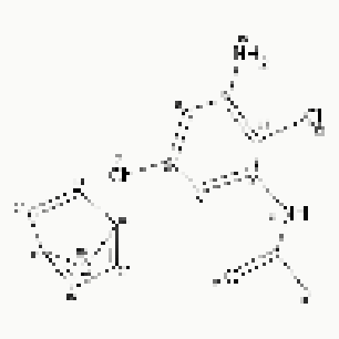 CC(=O)Nc1cc(Cl)cc(N)c1Cl.c1cc2ccc1o2